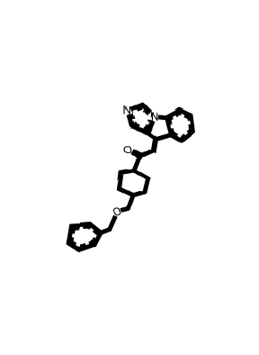 O=C(CC1c2ccccc2-n2cncc21)C1CCC(COCc2ccccc2)CC1